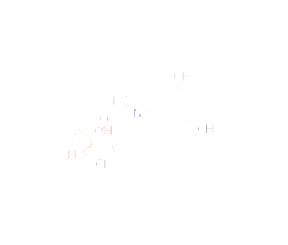 COc1cc2c(cc1OC)N(C)C(C(=O)OC(C)P(=O)(O)O)C2